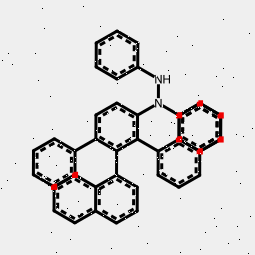 c1ccc(NN(c2ccccc2)c2ccc(-c3ccccc3)c(-c3cccc4ccccc34)c2-c2cccc3ccccc23)cc1